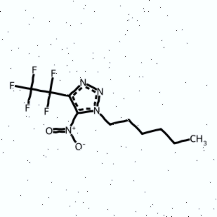 CCCCCCn1nnc(C(F)(F)C(F)(F)F)c1[N+](=O)[O-]